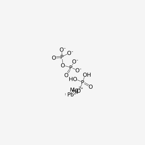 O=P(O)(O)O.O=P([O-])([O-])OP(=O)([O-])[O-].[Mg+2].[Pb+2]